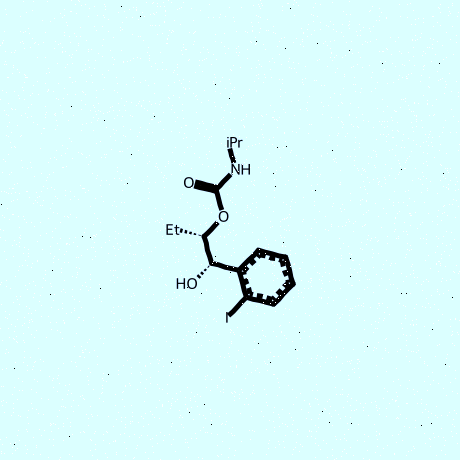 CC[C@H](OC(=O)NC(C)C)[C@@H](O)c1ccccc1I